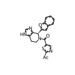 CC(=O)c1ncc(C(=O)N2CCc3[nH]cnc3[C@H]2c2cc3ccccc3o2)s1